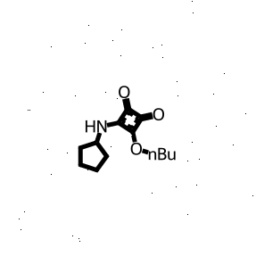 CCCCOc1c(NC2CCCC2)c(=O)c1=O